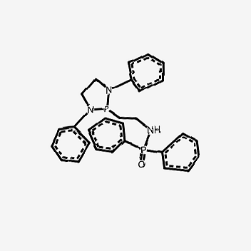 O=P(NCCP1N(c2ccccc2)CCN1c1ccccc1)(c1ccccc1)c1ccccc1